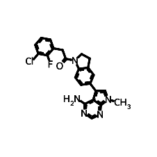 Cn1cc(-c2ccc3c(c2)CCN3C(=O)Cc2cccc(Cl)c2F)c2c(N)ncnc21